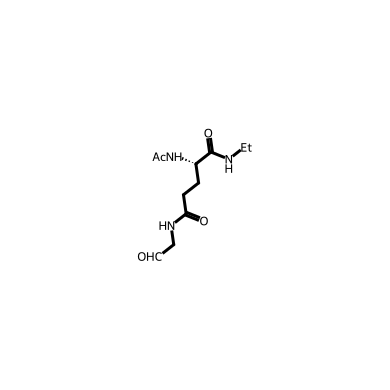 CCNC(=O)[C@H](CCC(=O)NCC=O)NC(C)=O